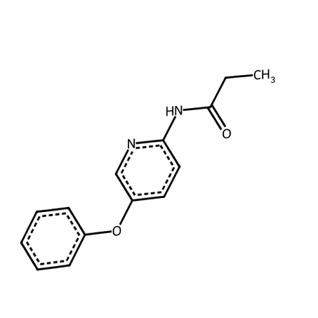 CCC(=O)Nc1ccc(Oc2ccccc2)cn1